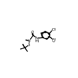 CN(SC(C)(C)C)C(=O)Nc1ccc(Cl)c(Cl)c1